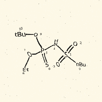 CCCCS(=O)(=O)NP(=S)(OCC)OC(C)(C)C